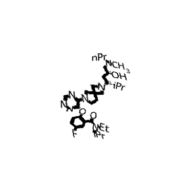 CCCN(C)C[C@H](O)C[C@H](C(C)C)N1CC2(CCN(c3ncnnc3Oc3ccc(F)cc3C(=O)N(CC)C(C)C)C2)C1